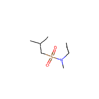 CCN(C)S(=O)(=O)CC(C)C